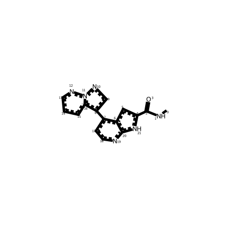 CNC(=O)c1cc2c(-c3cnn4ncccc34)ccnc2[nH]1